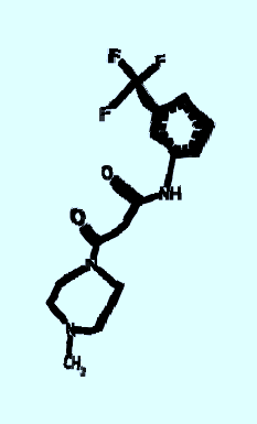 CN1CCN(C(=O)CC(=O)Nc2cccc(C(F)(F)F)c2)CC1